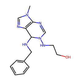 Cn1cnc2c1N=CN(NCCO)C2NCc1ccccc1